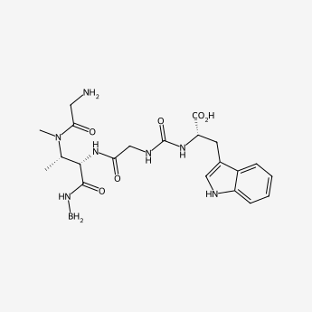 BNC(=O)[C@@H](NC(=O)CNC(=O)N[C@@H](Cc1c[nH]c2ccccc12)C(=O)O)[C@H](C)N(C)C(=O)CN